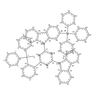 CC(c1ccccc1)(c1ccccc1)c1ccccc1-c1nc(-n2c3ccccc3c3ccccc32)nc(-n2c3ccccc3c3ccc([Si](c4ccccc4)(c4ccccc4)c4ccccc4)cc32)n1